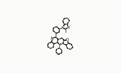 Cc1nc2ccccc2n1-c1cccc(-c2nc3ccccc3c3c(-c4ccccc4)c4c(cc23)oc2ccccc24)c1